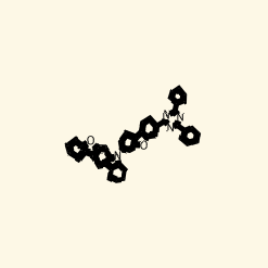 C1=Cc2c(n(-c3ccc4c(c3)oc3cc(-c5nc(-c6ccccc6)nc(-c6ccccc6)n5)ccc34)c3cc4oc5ccccc5c4cc23)CC1